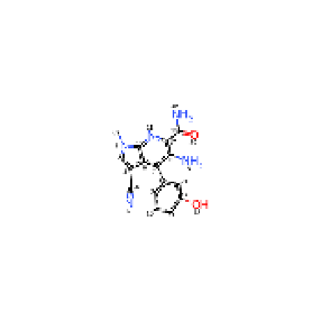 Cn1cc(C#N)c2c(-c3cccc(O)c3)c(N)c(C(N)=O)nc21